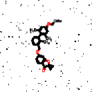 COCOc1cc(C)c(-c2cccc(COc3ccc4c(c3)OC3(CC3)C4=O)c2C)c(C)c1